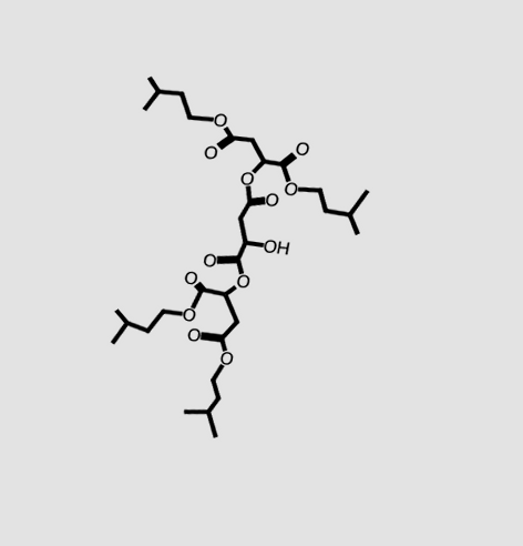 CC(C)CCOC(=O)CC(OC(=O)CC(O)C(=O)OC(CC(=O)OCCC(C)C)C(=O)OCCC(C)C)C(=O)OCCC(C)C